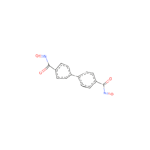 O=NC(=O)c1ccc(-c2ccc(C(=O)N=O)cc2)cc1